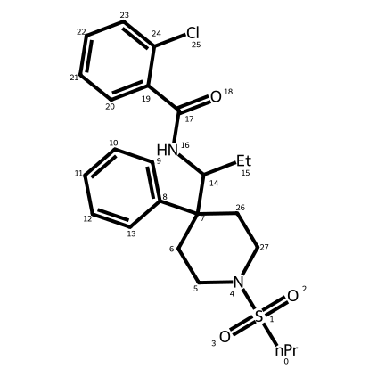 CCCS(=O)(=O)N1CCC(c2ccccc2)(C(CC)NC(=O)c2ccccc2Cl)CC1